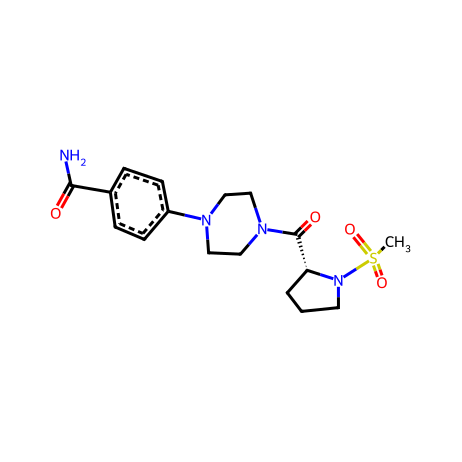 CS(=O)(=O)N1CCC[C@@H]1C(=O)N1CCN(c2ccc(C(N)=O)cc2)CC1